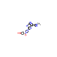 Cn1cc(-c2cc(-c3ccc(N4CCN(C(=O)[C@H]5CC[C@H](O)CC5)CC4)cn3)c3c(C#N)cnn3c2)cn1